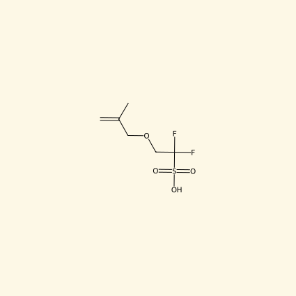 C=C(C)COCC(F)(F)S(=O)(=O)O